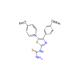 COc1ccc(-c2nc(NC(N)=S)sc2-c2ccc(OC)cc2)cc1